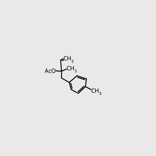 C=CC(C)(Cc1ccc(C)cc1)OC(C)=O